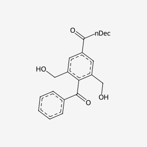 CCCCCCCCCCC(=O)c1cc(CO)c(C(=O)c2ccccc2)c(CO)c1